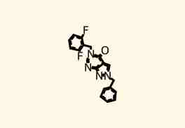 O=c1c2cn(Cc3ccccc3)nc2ncn1Cc1c(F)cccc1F